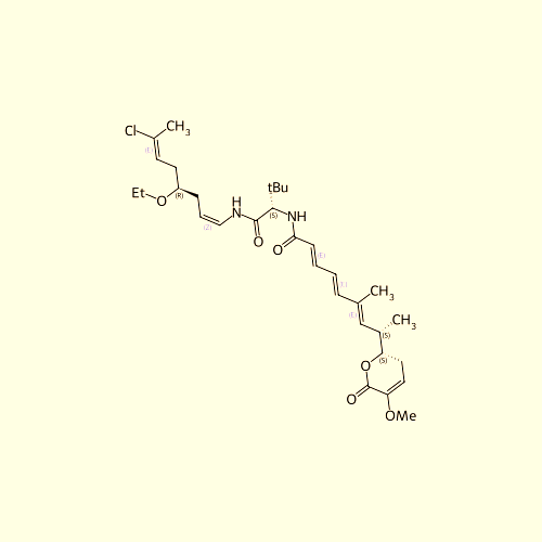 CCO[C@H](C/C=C\NC(=O)[C@@H](NC(=O)/C=C/C=C/C(C)=C/[C@H](C)[C@@H]1CC=C(OC)C(=O)O1)C(C)(C)C)C/C=C(\C)Cl